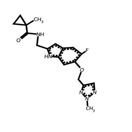 Cn1ncc(COc2cc3[nH]c(CNC(=O)C4(C)CC4)cc3cc2F)n1